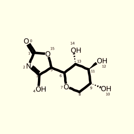 O=C1N=C(O)C(C2OC[C@@H](O)[C@H](O)[C@H]2O)O1